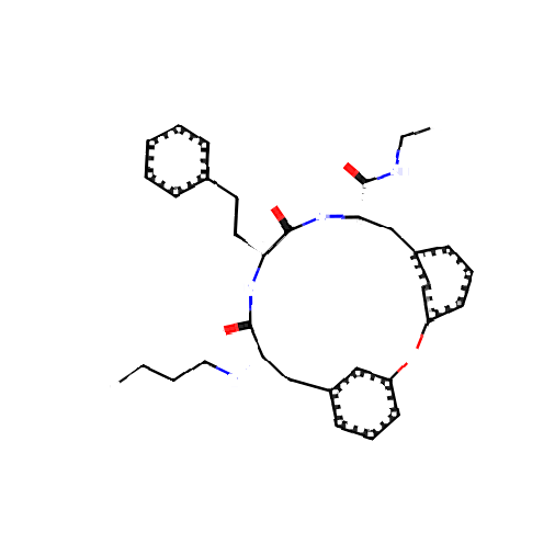 O=C(O)CCCN[C@H]1Cc2cccc(c2)Oc2cccc(c2)C[C@@H](C(=O)NCC(F)(F)F)NC(=O)[C@H](CCc2ccccc2)NC1=O